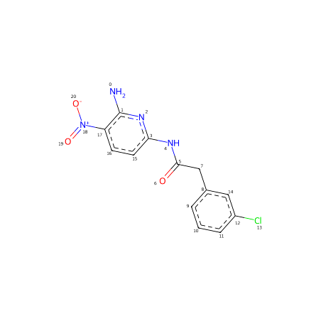 Nc1nc(NC(=O)Cc2cccc(Cl)c2)ccc1[N+](=O)[O-]